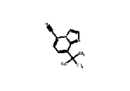 CC(C)(C)c1ccc(C#N)n2ccnc12